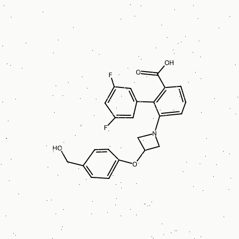 O=C(O)c1cccc(N2CC(Oc3ccc(CO)cc3)C2)c1-c1cc(F)cc(F)c1